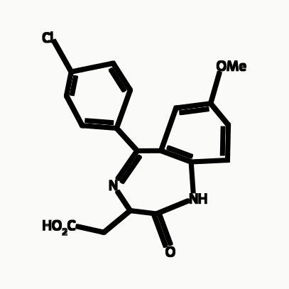 COc1ccc2c(c1)C(c1ccc(Cl)cc1)=NC(CC(=O)O)C(=O)N2